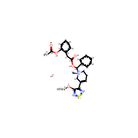 CCCCCCOc1nsnc1C1=CCC[N+](C)(C(OC(=O)Cc2ccccc2OC(=O)C(C)C)c2ccccc2)C1.[I-]